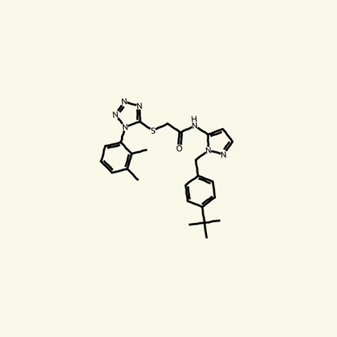 Cc1cccc(-n2nnnc2SCC(=O)Nc2ccnn2Cc2ccc(C(C)(C)C)cc2)c1C